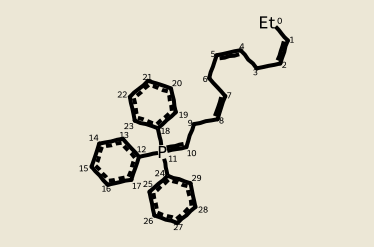 CC/C=C\C/C=C\C/C=C\CC=P(c1ccccc1)(c1ccccc1)c1ccccc1